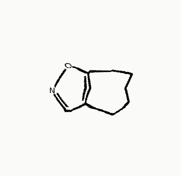 c1noc2c1CCCC2